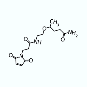 CC(CCC(N)=O)OCCNC(=O)CCN1C(=O)C=CC1=O